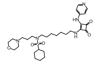 O=c1c(NCCCCCCCN(CCCN2CCOCC2)S(=O)(=O)C2CCCCC2)c(Nc2ccncc2)c1=O